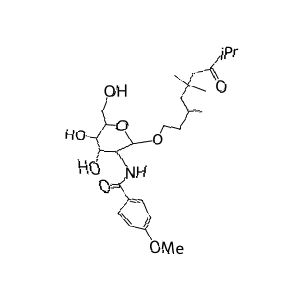 COc1ccc(C(=O)NC2C(OCCC(C)CC(C)(C)CC(=O)C(C)C)OC(CO)C(O)C2O)cc1